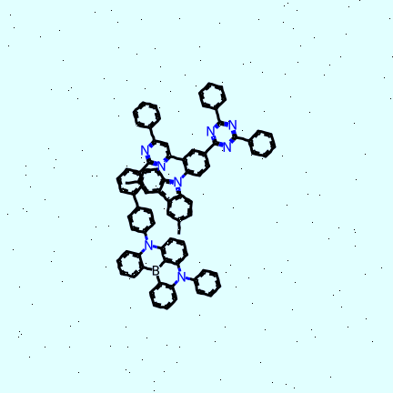 Cc1ccc2c(c1)c1cc(C)ccc1n2-c1ccc(-c2nc(-c3ccccc3)nc(-c3ccccc3)n2)cc1-c1cc(-c2ccccc2)nc(-c2cccc(-c3ccc(N4c5ccccc5B5c6ccccc6N(c6ccccc6)c6cccc4c65)cc3)c2)n1